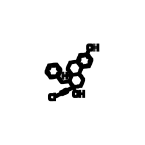 Oc1ccc2c(c1)CC[C@@H]1C2CC[C@](O)(C#CCl)C1Cc1ccccc1